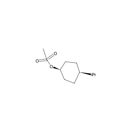 CC(C)[C@H]1CC[C@@H](OS(C)(=O)=O)CC1